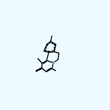 C=C1C=C(C)N2CCc3cc(C)ccc3C2=C1C